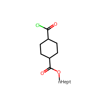 CCCCCCCOC(=O)C1CCC(C(=O)Cl)CC1